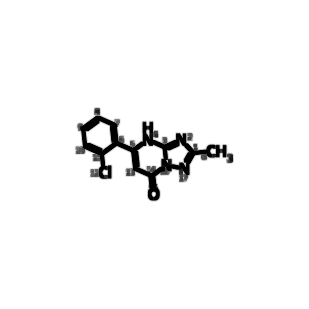 Cc1nc2[nH]c(-c3ccccc3Cl)cc(=O)n2n1